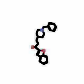 O=C(CCC1CCN(Cc2ccccc2)CC1)c1cc2ccccc2o1